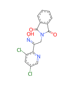 O=C1c2ccccc2C(=O)N1C/C(=N\O)c1ncc(Cl)cc1Cl